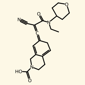 CCN(C(=O)C(=C=C1C=C2CN(C(=O)O)CCC2=CC1)C#N)C1CCOCC1